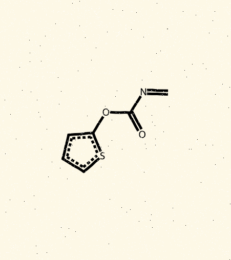 C=NC(=O)Oc1cccs1